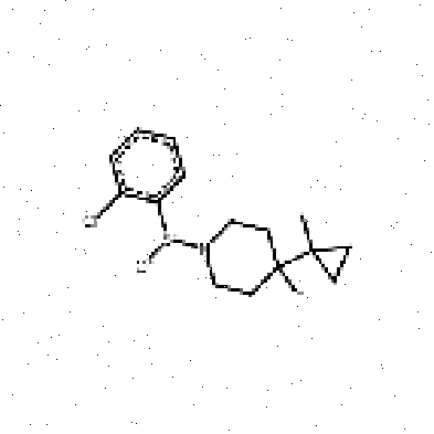 CC1(C2(F)CCN([S+]([O-])c3ccccc3Cl)CC2)CC1